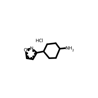 Cl.NC1CCC(c2ccon2)CC1